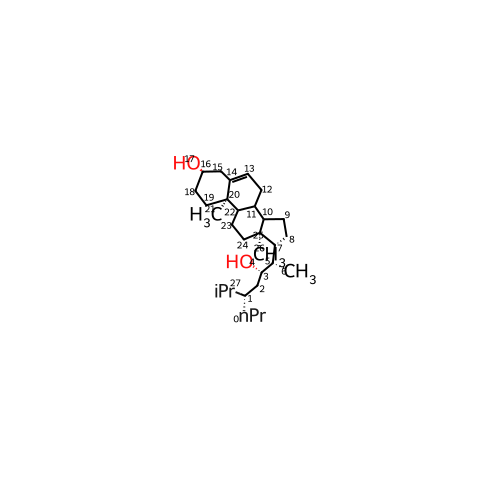 CCC[C@@H](C[C@H](O)[C@@H](C)[C@H]1CCC2C3CC=C4C[C@@H](O)CC[C@]4(C)C3CC[C@@]21C)C(C)C